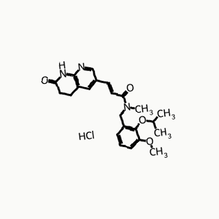 COc1cccc(CN(C)C(=O)C=Cc2cnc3c(c2)CCC(=O)N3)c1OC(C)C.Cl